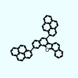 c1ccc2c(c1)ccc1c2oc2c3cc(-c4ccc5ccc6cccc7ccc4c5c67)ccc3cc(-c3ccc4ccc5cccc6ccc3c4c56)c12